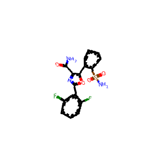 NC(=O)c1nc(-c2c(F)cccc2F)oc1-c1ccccc1S(N)(=O)=O